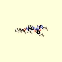 CCc1c(-c2ccc(NC(=O)[C@@H](NC(=O)c3ccnn3CC)C3CCC(C)CC3)nc2F)c(C)nn1COCC[Si](C)(C)C